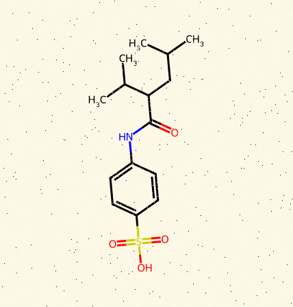 CC(C)CC(C(=O)Nc1ccc(S(=O)(=O)O)cc1)C(C)C